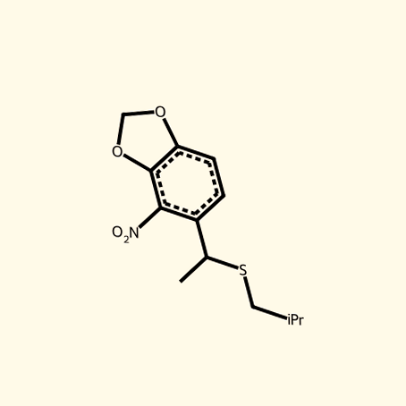 CC(C)CSC(C)c1ccc2c(c1[N+](=O)[O-])OCO2